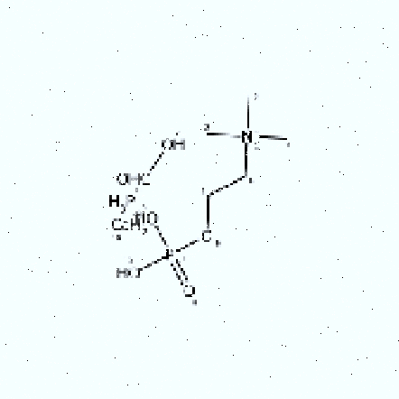 C[N+](C)(C)CCOP(=O)(O)O.O=CO.P.[CaH2]